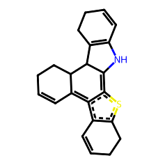 C1=CC2=C(CC1)C1C(=c3sc4c(c3=C3C=CCCC31)C=CCC4)N2